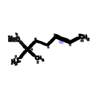 C/C=C/CCC(C)(C)OC